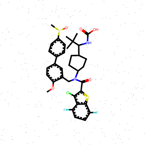 COc1ccc(-c2ccc([S+](C)[O-])cc2)cc1CN(C(=O)c1sc2c(F)ccc(F)c2c1Cl)C1CCC(C(NC(=O)O)C(C)(C)C)CC1